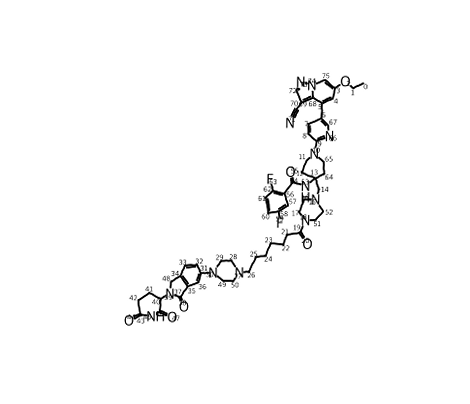 CCOc1cc(-c2ccc(N3CCC(CN4CCN(C(=O)CCCCCCN5CCN(c6ccc7c(c6)C(=O)N(C6CCC(=O)NC6=O)C7)CC5)CC4)(NC(=O)c4cc(F)ccc4F)CC3)nc2)c2c(C#N)cnn2c1